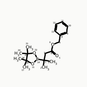 CC(C)(CC(=O)OCc1ccccc1)B1OC(C)(C)C(C)(C)O1